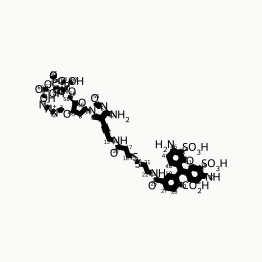 [N-]=[N+]=NCO[C@@H]1C[C@H](n2cc(C#CCNC(=O)CCSSCCNC(=O)c3ccc(C(=O)O)c(-c4c5ccc(=N)c(S(=O)(=O)O)c-5oc5c(S(=O)(=O)O)c(N)ccc45)c3)c(N)nc2=O)O[C@@H]1COP(=O)(O)OP(=O)(O)OP(=O)(O)O